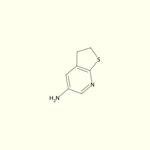 Nc1cnc2c(c1)CCS2